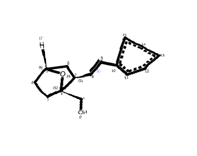 OC[C@]12CC[C@H](C[C@H]1/C=C/c1ccccc1)O2